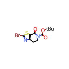 CC(C)(C)OC(=O)N1CCc2nc(Br)sc2C1=O